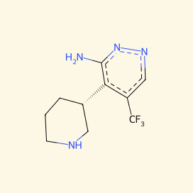 Nc1nncc(C(F)(F)F)c1[C@H]1CCCNC1